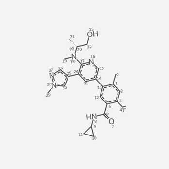 Cc1cc(F)c(C(=O)NC2CC2)cc1-c1cnc(N(C)[C@H](C)CO)c(-c2cnn(C)c2)c1